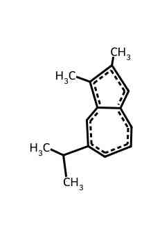 Cc1cc2cccc(C(C)C)cc-2c1C